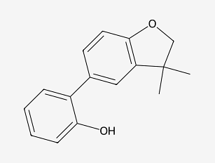 CC1(C)COc2ccc(-c3ccccc3O)cc21